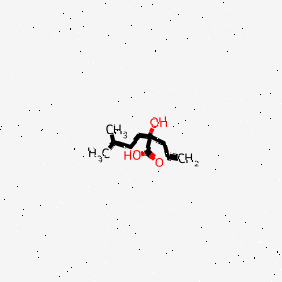 C=CCC(O)(CCC(C)C)C(=O)O